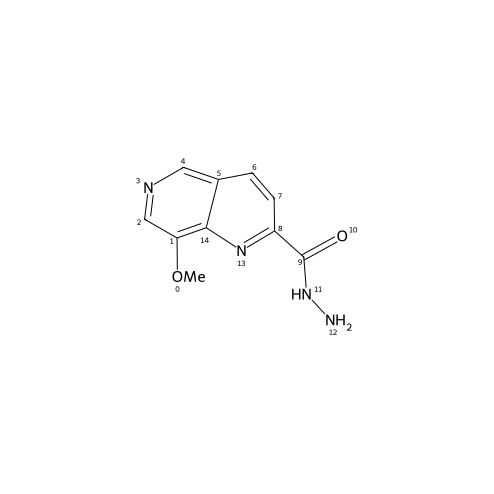 COc1cncc2ccc(C(=O)NN)nc12